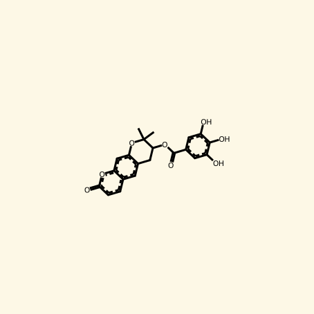 CC1(C)Oc2cc3oc(=O)ccc3cc2CC1OC(=O)c1cc(O)c(O)c(O)c1